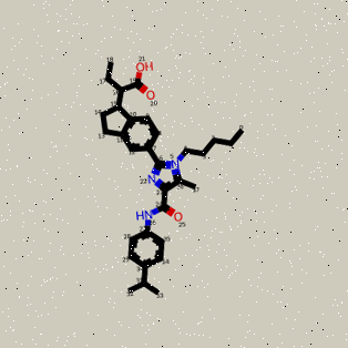 CCCCCn1c(-c2ccc3c(c2)CCC3C(CC)C(=O)O)nc(C(=O)Nc2ccc(C(C)C)cc2)c1C